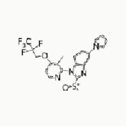 Cc1c(OCC(F)(F)C(F)(F)F)ccnc1-n1c([S+](C)[O-])nc2cc(-n3cccc3)ccc21